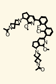 COc1nc(-c2cccc(-c3cccc(-c4cc5c(c(OC)n4)[C@@H](N4CC6(CN(C(C)=O)C6)C4)CC5)c3F)c2Cl)cc2c1[C@H](N1CC3(CN(C(C)=O)C3)C1)CC2